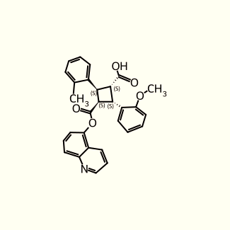 COc1ccccc1[C@H]1[C@@H](C(=O)O)[C@H](c2ccccc2C)[C@@H]1C(=O)Oc1cccc2ncccc12